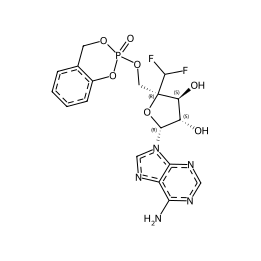 Nc1ncnc2c1ncn2[C@@H]1O[C@@](COP2(=O)OCc3ccccc3O2)(C(F)F)[C@@H](O)[C@@H]1O